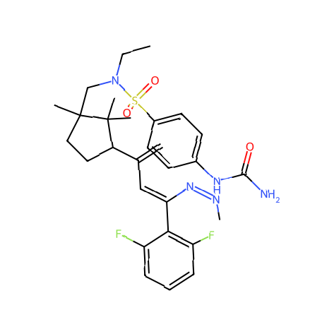 C=C(/C=C(\N=N/C)c1c(F)cccc1F)C1CCC(C)(CN(CC)S(=O)(=O)c2ccc(NC(N)=O)cc2)C1(C)C